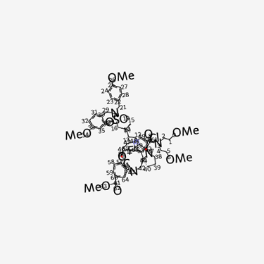 COCCN(CCOC)C(=O)C(/C(F)=C/C[C@H](C)CS(=O)(=O)N(Cc1ccc(OC)cc1)Cc1ccc(OC)cc1)N1CCC[C@@]12CN1CCCCc3cc(Cl)cc2c3COc2ccc(C(=O)OC)cc21